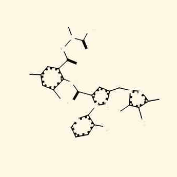 COC(=O)N(C)NC(=O)c1cc(Cl)cc(C)c1NC(=O)c1cc(Cn2nc(C)c(Br)c2C)nn1-c1ncccc1Cl